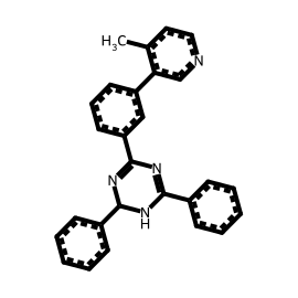 Cc1ccncc1-c1cccc(C2=NC(c3ccccc3)NC(c3ccccc3)=N2)c1